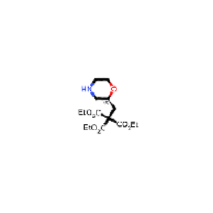 CCOC(=O)C(C[C@H]1CNCCO1)(C(=O)OCC)C(=O)OCC